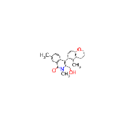 Cc1ccc2c(-c3ccc4c(c3C)CCCO4)c(CO)n(C)c(=O)c2c1